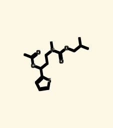 CC(=O)OC(CCN(C)C(=O)OCC(C)C)c1cccs1